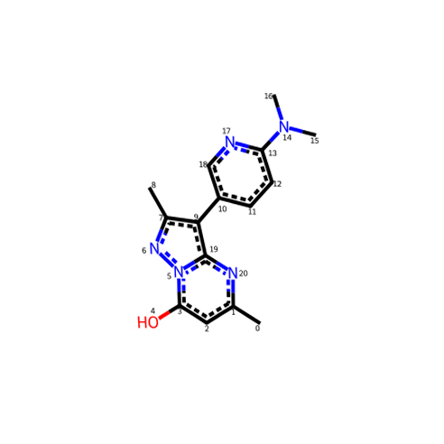 Cc1cc(O)n2nc(C)c(-c3ccc(N(C)C)nc3)c2n1